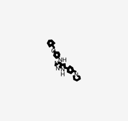 c1ccc(COc2ccc(Nc3ncnc4[nH]c(-c5ccc(CN6CCCCC6)cc5)cc34)cc2)cc1